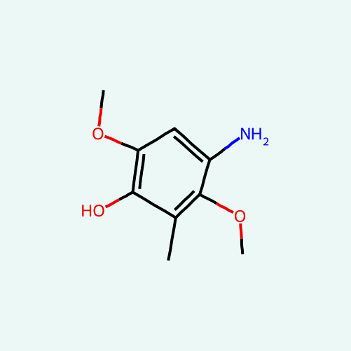 COc1cc(N)c(OC)c(C)c1O